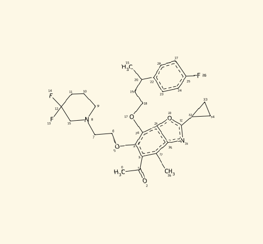 CC(=O)c1c(OCCN2CCCC(F)(F)C2)c(OCCC(C)c2ccc(F)cc2)c2oc(C3CC3)nc2c1C